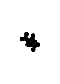 c1ccc(-c2cc(-c3ccccc3)nc(-c3cc(-c4ccccc4)c(N4c5ccccc5N(c5cc(-c6ccccc6)nc(-c6ccccc6)n5)c5ccccc54)c(-c4nc(-c5ccccc5)nc(-c5ccccc5)n4)c3)n2)cc1